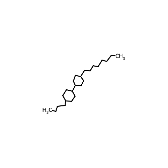 CCCCCCCCC1CCC(C2CCC(CCCC)CC2)CC1